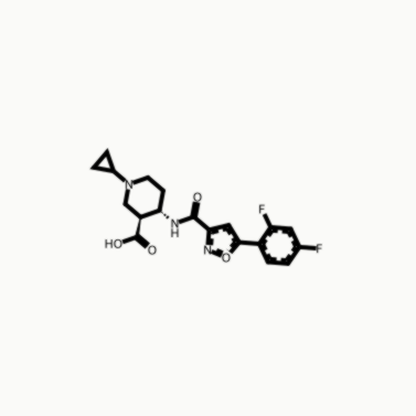 O=C(N[C@H]1CCN(C2CC2)C[C@@H]1C(=O)O)c1cc(-c2ccc(F)cc2F)on1